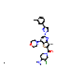 Cc1cccc(-c2ccn(-c3cc(N4CCOCC4)c4sc(C(=O)N5CCC(N(C)C)C(F)C5)c(C)c4n3)n2)c1